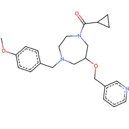 COc1ccc(CN2CCN(C(=O)C3CC3)CC(OCc3cccnc3)C2)cc1